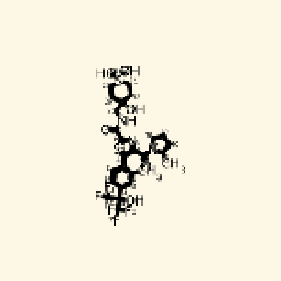 Cc1cc(C(O)(C(F)(F)F)C(F)(F)F)ccc1-c1sc(C(=O)NCC2(O)CCS(O)(O)CC2)nc1C(=O)N1CCCC1C